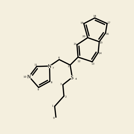 CCCCSC(Cn1ccnc1)c1ccc2ccccc2c1